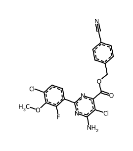 COc1c(Cl)ccc(-c2nc(N)c(Cl)c(C(=O)OCc3ccc(C#N)cc3)n2)c1F